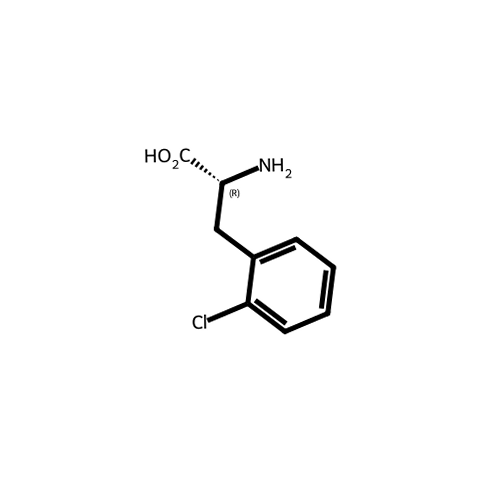 N[C@H](Cc1ccccc1Cl)C(=O)O